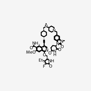 CC[C@@H]1[C@H](F)C(=O)N[C@@H]1COc1ncc(C#C[C@H]2CC[C@H](CN(C)C3CCN(Cc4ccc5c(c4)n(C)c(=O)n5C4CCC(=O)NC4=O)CC3)CC2)c2cc(C(N)=O)c(OC)cc12